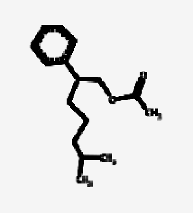 CC(=O)OCC(CCCC(C)C)c1ccccc1